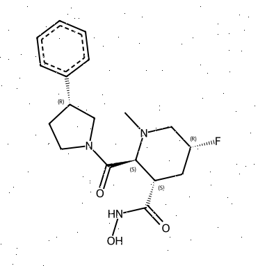 CN1C[C@H](F)C[C@H](C(=O)NO)[C@H]1C(=O)N1CC[C@H](c2ccccc2)C1